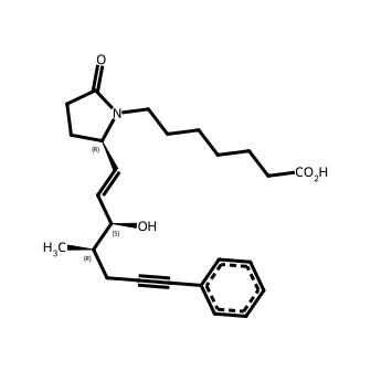 C[C@H](CC#Cc1ccccc1)[C@H](O)C=C[C@H]1CCC(=O)N1CCCCCCC(=O)O